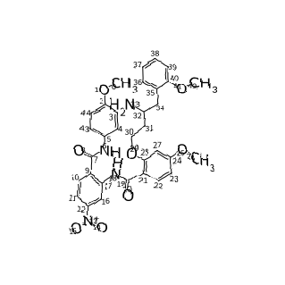 COc1ccc(NC(=O)c2ccc([N+](=O)[O-])cc2NC(=O)c2ccc(OC)cc2OCCC(N)Cc2ccccc2OC)cc1